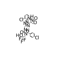 O=C1NC(c2nc(Cn3nc(-c4ccc(Cl)cc4)n(CC(O)C(F)(F)F)c3=O)nn2-c2ncccc2Cl)CO1